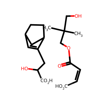 CC(C)(CO)COC(=O)/C=C\C(=O)O.O=C(O)C(O)CC1=CC2CCC1C2